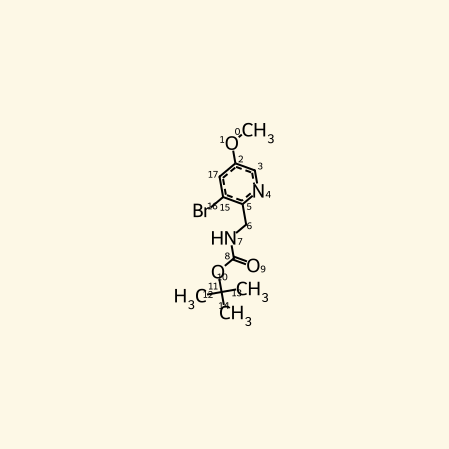 COc1cnc(CNC(=O)OC(C)(C)C)c(Br)c1